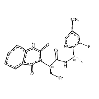 CC(C)C[C@H](C(=O)N[C@@H](C)c1ncc(C#N)cc1F)n1c(=O)[nH]c2ccccc2c1=O